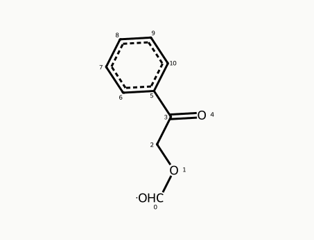 O=[C]OCC(=O)c1ccccc1